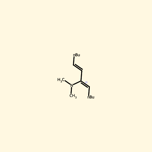 CCCCC=C/C(=C/CCCC)N(C)C